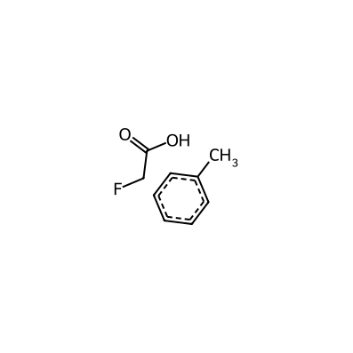 Cc1ccccc1.O=C(O)CF